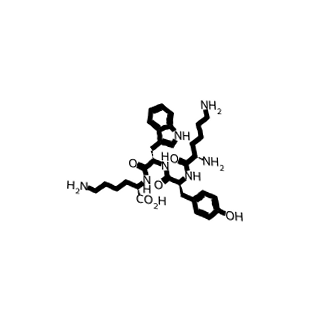 NCCCC[C@H](NC(=O)[C@H](Cc1c[nH]c2ccccc12)NC(=O)[C@H](Cc1ccc(O)cc1)NC(=O)[C@@H](N)CCCCN)C(=O)O